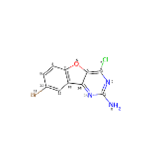 Nc1nc(Cl)c2oc3ccc(Br)cc3c2n1